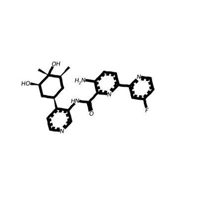 C[C@H]1C[C@@H](c2ccncc2NC(=O)c2nc(-c3cc(F)ccn3)ccc2N)C[C@@H](O)[C@]1(C)O